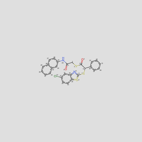 O=C(CSC(=O)C(Sc1nc2cc(Cl)ccc2s1)c1ccccc1)Nc1ccc2ccccc2c1